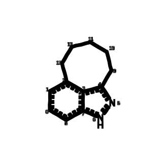 c1cc2c3c(n[nH]c3c1)CCCCC2